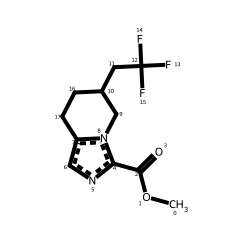 COC(=O)c1ncc2n1CC(CC(F)(F)F)CC2